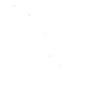 Cc1cccc2[nH]c(C(=O)NCCN3CCNCC3)cc(=O)c12